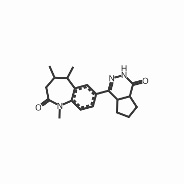 CC1CC(=O)N(C)c2ccc(C3=NNC(=O)C4CCCC34)cc2C1C